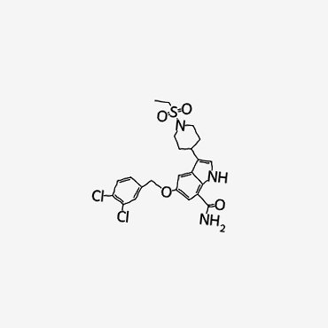 CCS(=O)(=O)N1CCC(c2c[nH]c3c(C(N)=O)cc(OCc4ccc(Cl)c(Cl)c4)cc23)CC1